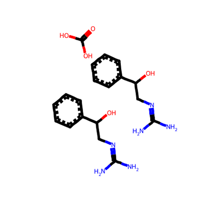 NC(N)=NCC(O)c1ccccc1.NC(N)=NCC(O)c1ccccc1.O=C(O)O